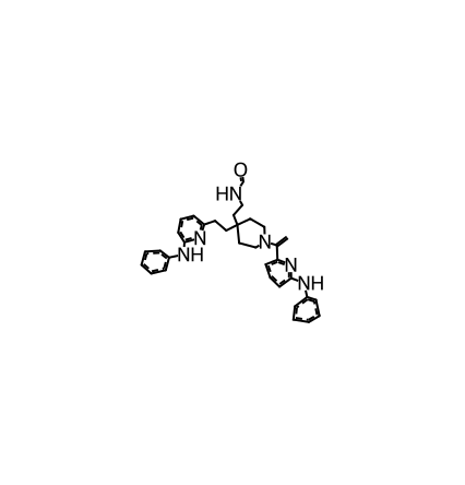 C=C(c1cccc(Nc2ccccc2)n1)N1CCC(CCNC=O)(CCc2cccc(Nc3ccccc3)n2)CC1